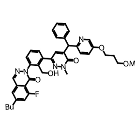 COCCCOc1ccc(C(c2ccccc2)c2cc(-c3cccc(-n4ncc5cc(C(C)(C)C)cc(F)c5c4=O)c3CO)nn(C)c2=O)nc1